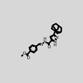 COC(=O)c1ccc(/C=N/NC(=O)c2cc(C34CC5CC(CC(C5)C3)C4)n[nH]2)cc1